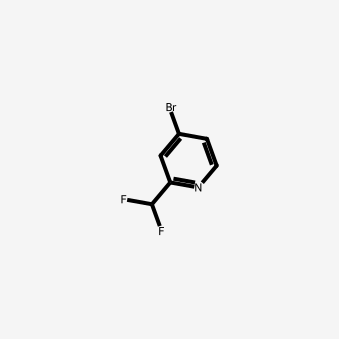 FC(F)c1cc(Br)ccn1